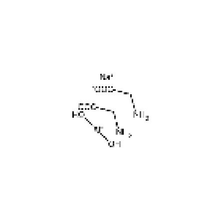 NCC(=O)[O-].NCC(=O)[O-].[Na+].[OH][Al+][OH]